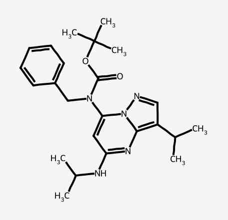 CC(C)Nc1cc(N(Cc2ccccc2)C(=O)OC(C)(C)C)n2ncc(C(C)C)c2n1